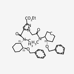 CCOC(=O)c1cc(C(=O)N(C)[C@H]2CCCC[C@@H]2OCc2ccccc2)n(CC(=O)N(C)C2CCCC[C@@H]2OCc2ccccc2)n1